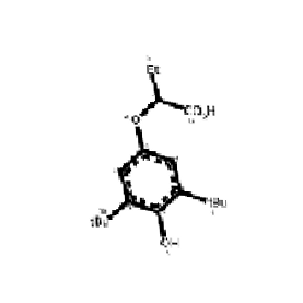 CCC(Oc1cc(C(C)(C)C)c(O)c(C(C)(C)C)c1)C(=O)O